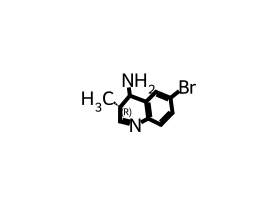 C[C@H]1C=Nc2ccc(Br)cc2C1N